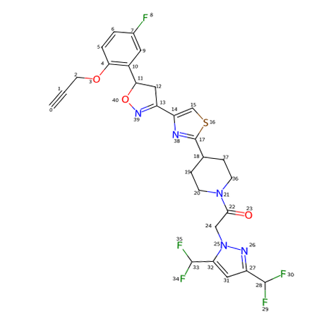 C#CCOc1ccc(F)cc1C1CC(c2csc(C3CCN(C(=O)Cn4nc(C(F)F)cc4C(F)F)CC3)n2)=NO1